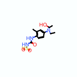 CCN(c1ccc(NC(=O)N[SH](=O)=O)c(C)c1)C(C)O